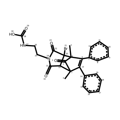 CC12C(=O)C(C)(C(c3ccccc3)=C1c1ccccc1)C1(Br)C(=O)N(CCNC(=O)O)C(=O)C21